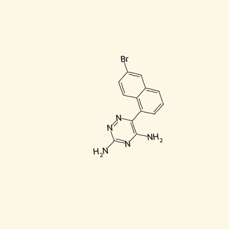 Nc1nnc(-c2cccc3cc(Br)ccc23)c(N)n1